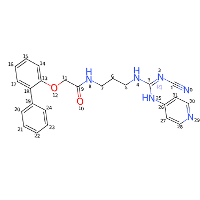 N#C/N=C(/NCCCNC(=O)COc1ccccc1-c1ccccc1)Nc1ccncc1